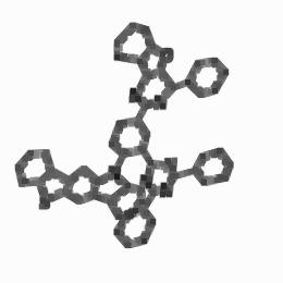 c1ccc(-c2nc(-c3ccccc3)nc(-c3cc(-c4nc(-c5ccccc5)c5oc6ccccc6c5n4)ccc3-n3c4ccccc4c4cc5sc6ccccc6c5cc43)n2)cc1